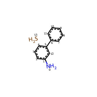 Nc1cccc(-c2ccccc2)c1.S